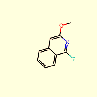 COc1cc2ccccc2c(F)n1